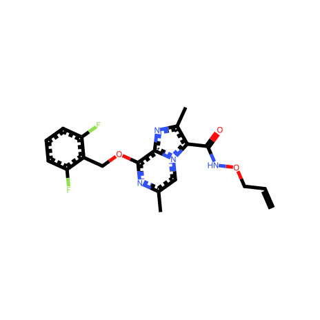 C=CCONC(=O)c1c(C)nc2c(OCc3c(F)cccc3F)nc(C)cn12